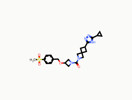 CS(=O)(=O)c1ccc(COC2CN(C(=O)N3CC4(CC(c5nnc(C6CC6)[nH]5)C4)C3)C2)cc1